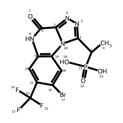 CC(c1nnc2c(=O)[nH]c3cc(C(F)(F)F)c(Br)cc3n12)P(=O)(O)O